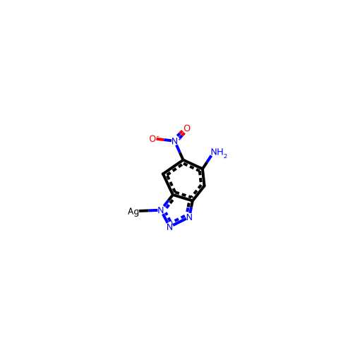 Nc1cc2nn[n]([Ag])c2cc1[N+](=O)[O-]